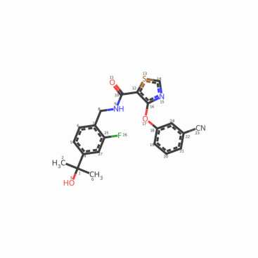 CC(C)(O)c1ccc(CNC(=O)c2scnc2Oc2cccc(C#N)c2)c(F)c1